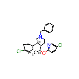 C[C@H](Oc1ccc(Cl)cn1)C1CCN(Cc2ccccc2)C[C@@H]1C1C=CC(Cl)=CC1